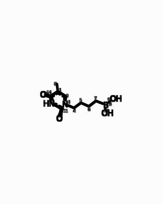 Cc1cn(CCCCB(O)O)c(=O)[nH]c1=O